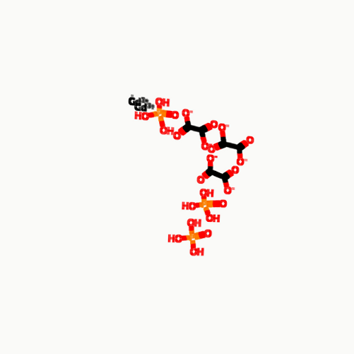 O=C([O-])C(=O)[O-].O=C([O-])C(=O)[O-].O=C([O-])C(=O)[O-].O=P(O)(O)O.O=P(O)(O)O.O=P(O)(O)O.[Gd+3].[Gd+3]